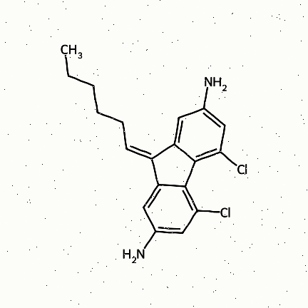 CCCCCC=C1c2cc(N)cc(Cl)c2-c2c(Cl)cc(N)cc21